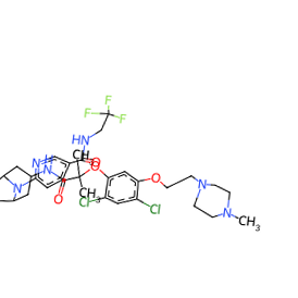 CN1CCN(CCOc2cc(OC(C)(C)C(=O)NC3CC4CCC(C3)N4c3ccc(C(=O)NCC(F)(F)F)cn3)c(Cl)cc2Cl)CC1